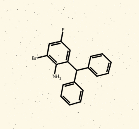 Nc1c(Br)cc(F)cc1C(c1ccccc1)c1ccccc1